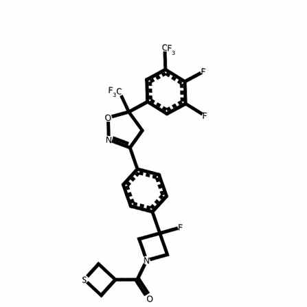 O=C(C1CSC1)N1CC(F)(c2ccc(C3=NOC(c4cc(F)c(F)c(C(F)(F)F)c4)(C(F)(F)F)C3)cc2)C1